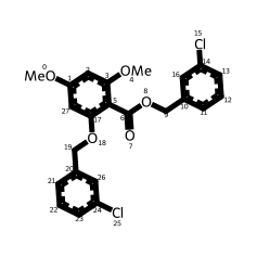 COc1cc(OC)c(C(=O)OCc2cccc(Cl)c2)c(OCc2cccc(Cl)c2)c1